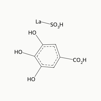 O=C(O)c1cc(O)c(O)c(O)c1.O=[S](=O)(O)[La]